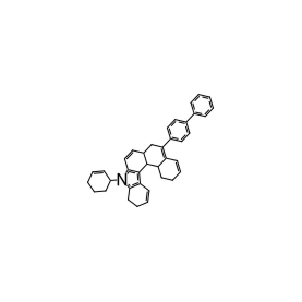 C1=CC(n2c3c(c4c2CCC=C4)C2C(C=C3)CC(c3ccc(-c4ccccc4)cc3)=C3C=CCCC32)CCC1